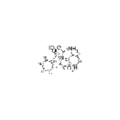 Nc1ccccc1[N+](CC(=O)O)(CC(=O)O)C(=O)c1ccccc1